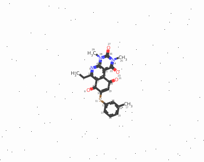 CCc1nc2c(c3c1C(=O)C(Sc1cccc(C)c1)=CC3=O)c(=O)n(C)c(=O)n2C